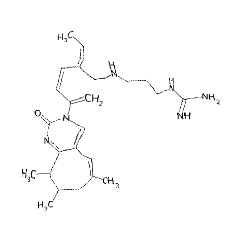 C=C(/C=C\C(=C/C)CNCCCNC(=N)N)n1cc2c(nc1=O)C(C)C(C)CC(C)=C2